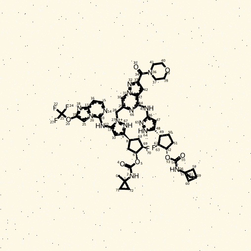 CC1(NC(=O)O[C@H]2C[C@@H](c3cc(Nc4nccc5nc(OC(F)(F)F)cn45)[n+](Cc4cn5nc(C(=O)N6CCOCC6)cc5c(Nc5cc([C@@H]6CC[C@H](OC(=O)NC78CC(C7)C8)[C@@H]6F)[nH]n5)n4)[nH]3)C[C@H]2F)CC1